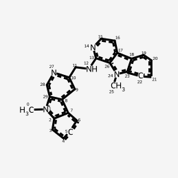 Cn1c2ccccc2c2cc(CNc3nccc4c5ccccc5n(C)c34)ncc21